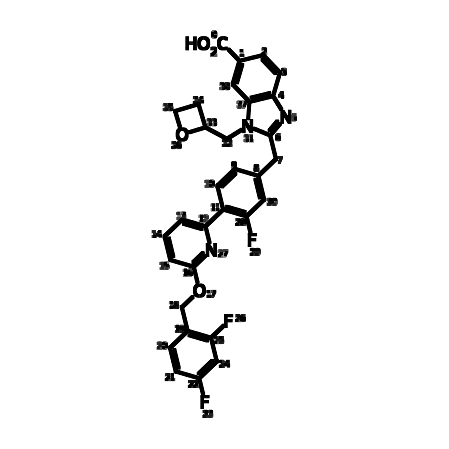 O=C(O)c1ccc2nc(Cc3ccc(-c4cccc(OCc5ccc(F)cc5F)n4)c(F)c3)n(CC3CCO3)c2c1